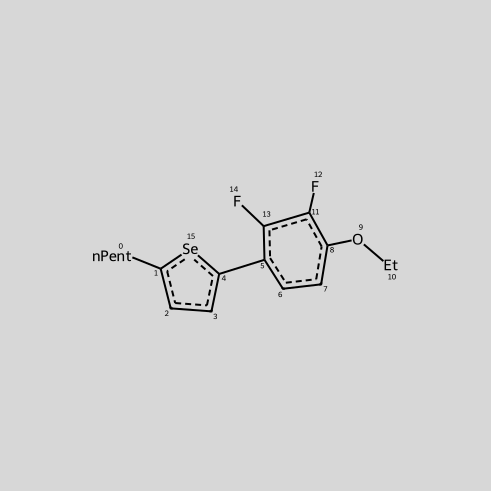 CCCCCc1ccc(-c2ccc(OCC)c(F)c2F)[se]1